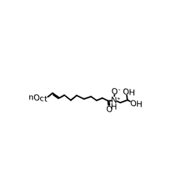 CCCCCCCCC=CCCCCCCCC(=O)[NH+]([O-])CC(O)O